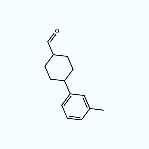 Cc1cccc(C2CCC(C=O)CC2)c1